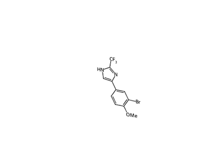 COc1ccc(-c2c[nH]c(C(F)(F)F)n2)cc1Br